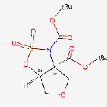 CC(C)(C)OC(=O)N1[C@@]2(C(=O)OC(C)(C)C)COC[C@H]2OS1(=O)=O